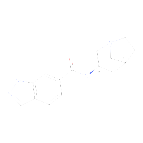 O=C(N[C@@H]1C[C@@H]2CCN(C2)C1)c1ccc2cn[nH]c2c1